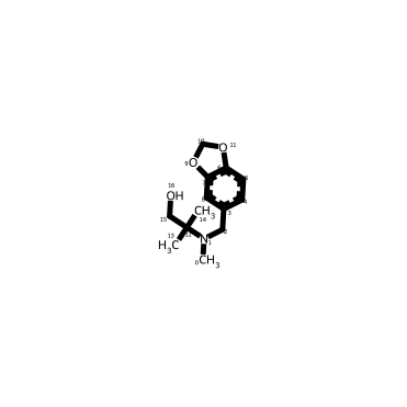 CN(Cc1ccc2c(c1)OCO2)C(C)(C)CO